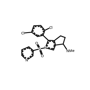 CNC1CCc2c1cn(S(=O)(=O)c1cccnc1)c2-c1cc(Cl)ccc1Cl